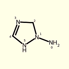 NN1CN=CN1